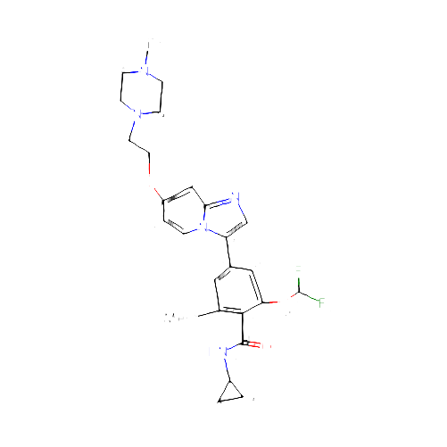 COc1cc(-c2cnc3cc(OCCN4CCN(C(C)C)CC4)ccn23)cc(OC(F)F)c1C(=O)NC1CC1